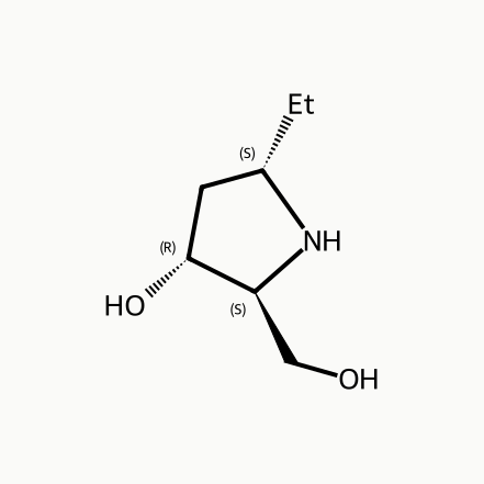 CC[C@H]1C[C@@H](O)[C@H](CO)N1